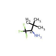 CC(C)(C)[C@@H](N)C(F)(F)F